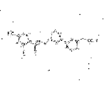 O=C(O)Cc1cccc(-c2cccc(CNC(=O)c3ccc(C(F)(F)F)cc3F)c2)c1